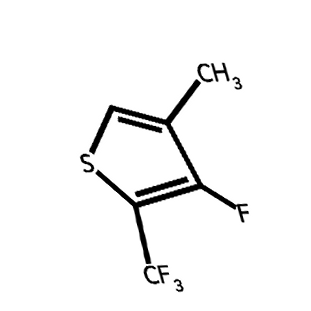 Cc1csc(C(F)(F)F)c1F